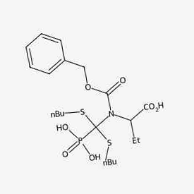 CCCCSC(SCCCC)(N(C(=O)OCc1ccccc1)C(CC)C(=O)O)P(=O)(O)O